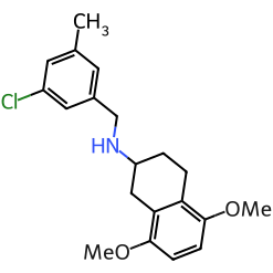 COc1ccc(OC)c2c1CCC(NCc1cc(C)cc(Cl)c1)C2